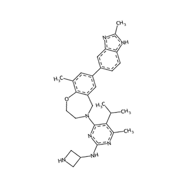 Cc1nc2cc(-c3cc(C)c4c(c3)CN(c3nc(NC5CNC5)nc(C)c3C(C)C)CCO4)ccc2[nH]1